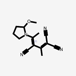 COC1CCCN1/C(C)=C(\C#N)C(C)=C(C#N)C#N